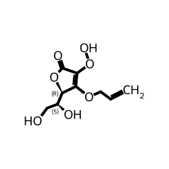 C=CCOC1=C(OO)C(=O)O[C@@H]1[C@@H](O)CO